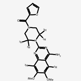 [2H]c1c(OC)c(OC)c([2H])c2c(N)nc(N3C([2H])([2H])CN(C(=O)c4ccco4)CC3([2H])[2H])nc12